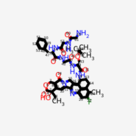 CC[C@@]1(O)C(=O)OCc2c1cc1n(c2=O)Cc2c-1nc1cc(F)c(C)c3c1c2[C@@H](NC(=O)[C@H](COC(C)(C)C)NC(=O)CNC(=O)[C@H](Cc1ccccc1)NC(=O)CNC(=O)CN)CC3